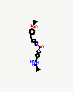 O=C(N1CC2(CC(Cc3ccc(S(=O)(=O)C4CC4)cc3)C2)C1)N1CC2(CC(c3nc(C4CC4)n[nH]3)C2)C1